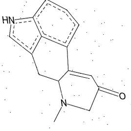 CN1CC(=O)C=C2c3cccc4[nH]cc(c34)CC21